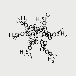 CCC(=C[SiH2]c1ccc(C(=O)OOC(=O)OCCC(COC(=O)OOC(=O)c2ccc([SiH2]C=C(CC)CC)cc2)C(COC(=O)OOC(=O)c2ccc([SiH2]C=C(CC)CC)cc2)C(COC(=O)OOC(=O)c2ccc([SiH2]C=C(CC)CC)cc2)C(CCOC(=O)OOC(=O)c2ccc([SiH2]C=C(CC)CC)cc2)COC(=O)OOC(=O)c2ccc([SiH2]C=C(CC)CC)cc2)cc1)CC